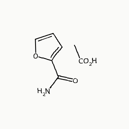 CC(=O)O.NC(=O)c1ccco1